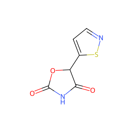 O=C1NC(=O)C(c2ccns2)O1